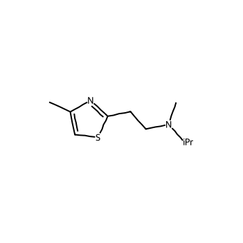 Cc1csc(CCN(C)C(C)C)n1